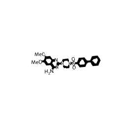 COc1cc2nc(N3CCN(S(=O)(=O)c4ccc(-c5ccccc5)cc4)CC3)nc(N)c2cc1OC